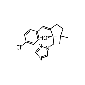 CC1(C)CCC(=Cc2ccc(Cl)cc2)[C@@]1(O)Cn1cncn1